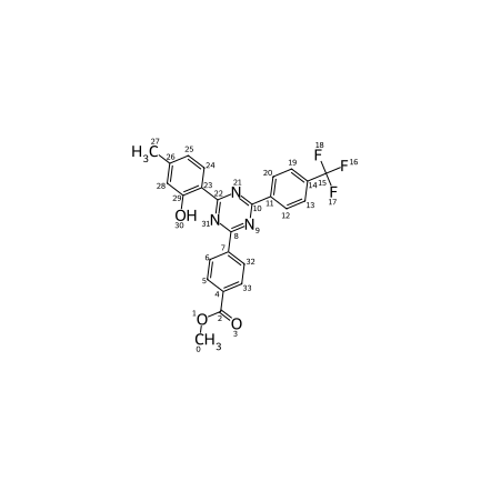 COC(=O)c1ccc(-c2nc(-c3ccc(C(F)(F)F)cc3)nc(-c3ccc(C)cc3O)n2)cc1